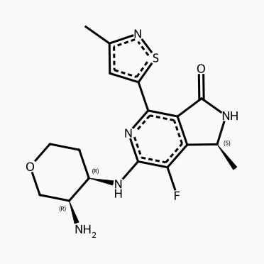 Cc1cc(-c2nc(N[C@@H]3CCOC[C@@H]3N)c(F)c3c2C(=O)N[C@H]3C)sn1